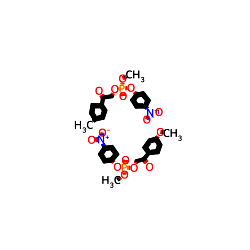 COP(=O)(OCC(=O)c1ccc(C)cc1)Oc1ccc([N+](=O)[O-])cc1.COc1ccc(C(=O)COP(=O)(OC)Oc2ccc([N+](=O)[O-])cc2)cc1